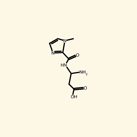 Cn1ccnc1C(=O)NC(N)CC(=O)O